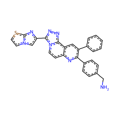 NCc1ccc(-c2nc3ccn4c(-c5cn6ccsc6n5)nnc4c3cc2-c2ccccc2)cc1